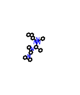 c1ccc(-c2cc(-c3nc(-c4ccccc4)nc(-c4ccc5c(ccc6ccccc65)c4)n3)cc(-n3c4ccccc4c4cc(-n5c6ccccc6c6ccccc65)ccc43)c2)cc1